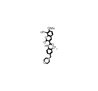 CCCc1c(OC)ccc2cc(C(=O)Nc3ccc(CN4CCOCC4)cc3C(F)(F)F)c(=O)oc12